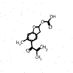 C=C(C)C(=O)c1cc2c(cc1C)OC(OC(=O)O)C2